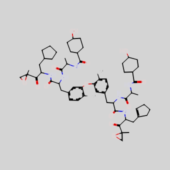 COc1ccc(CC(NC(=O)C(C)NC(=O)C2CCC(O)CC2)C(=O)NC(CC2=CCCC2)C(=O)C2(C)CO2)cc1Oc1cc(CC(NC(=O)C(C)NC(=O)C2CCC(O)CC2)C(=O)NC(CC2CCCC2)C(=O)C2(C)CO2)ccc1OC